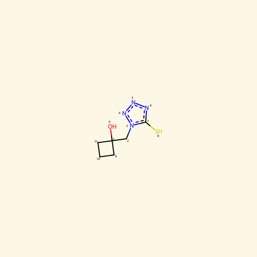 OC1(Cn2nnnc2S)CCC1